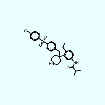 CCc1ccc(NC(=O)C(C)C)cc1C1(Cc2ccc(S(=O)(=O)c3ccc(Cl)cc3)cc2)CCNCC1